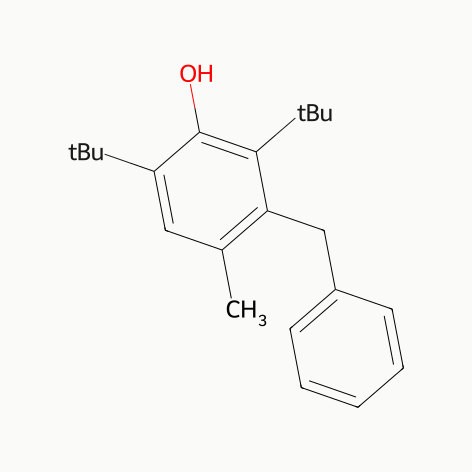 Cc1cc(C(C)(C)C)c(O)c(C(C)(C)C)c1Cc1ccccc1